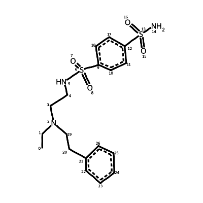 CCN(CCNS(=O)(=O)c1ccc(S(N)(=O)=O)cc1)CCc1ccccc1